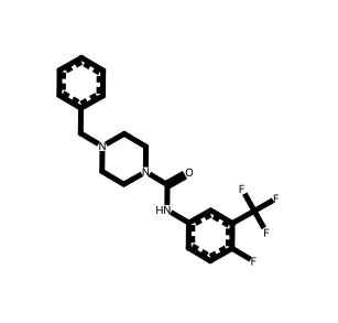 O=C(Nc1ccc(F)c(C(F)(F)F)c1)N1CCN(Cc2ccccc2)CC1